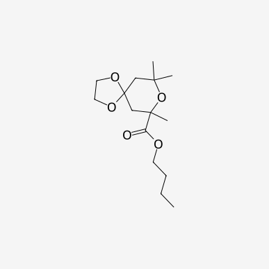 CCCCOC(=O)C1(C)CC2(CC(C)(C)O1)OCCO2